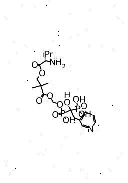 CC(C)[C@H](N)C(=O)OCC(C)(C)C(=O)OCOP(=O)(O)C(O)(Cc1cccnc1)P(=O)(O)O